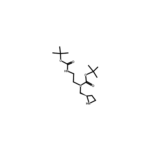 CC(C)(C)OC(=O)NCCN(C[C@H]1CCN1)C(=O)OC(C)(C)C